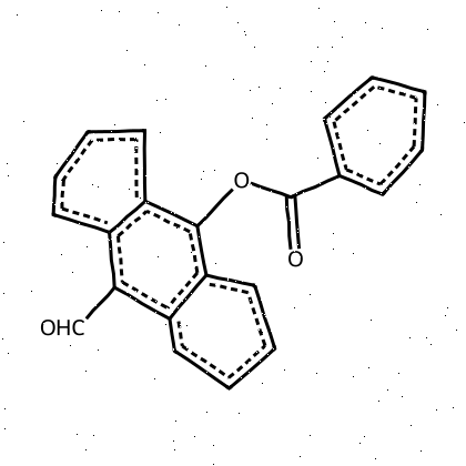 O=Cc1c2ccccc2c(OC(=O)c2ccccc2)c2ccccc12